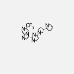 FC(F)(F)c1cn2c(-c3nccc(N4CCC(c5ccccn5)C4)n3)cnc2cn1